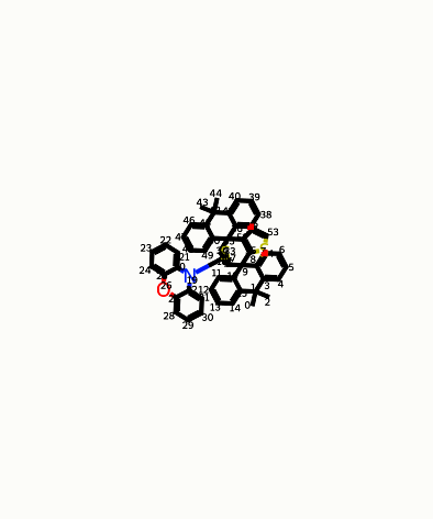 CC1(C)c2ccccc2C2(c3ccccc31)c1cc(N3c4ccccc4Oc4ccccc43)sc1C1(c3ccccc3C(C)(C)c3ccccc31)c1ccsc12